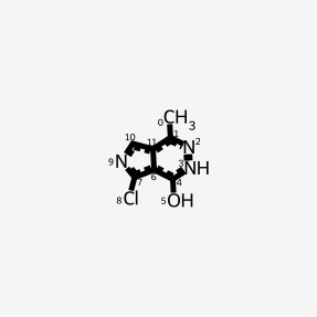 Cc1n[nH]c(O)c2c(Cl)ncc1-2